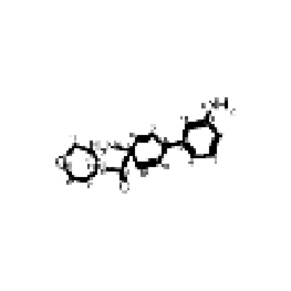 Nc1cccc(C2C=CC(N)(C(=O)N3CCOCC3)C=C2)c1